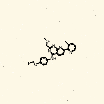 COCc1nc(Nc2ccc(OCF)cc2)c2ccc(-c3ncccc3C)nc2n1